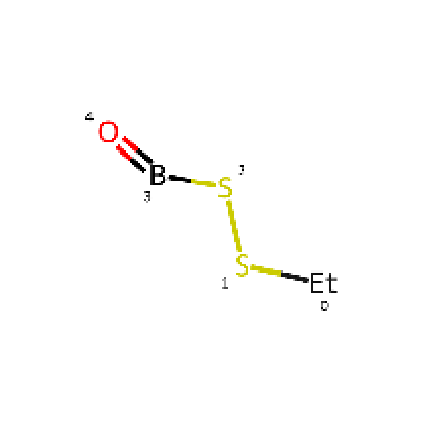 CCSSB=O